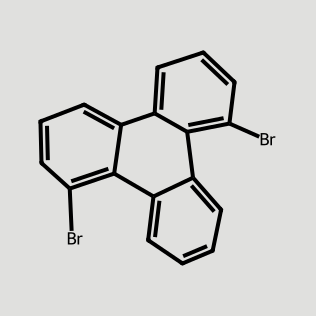 Brc1cccc2c3cccc(Br)c3c3ccccc3c12